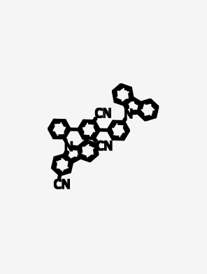 N#Cc1ccc2c(c1)c1ccccc1n2-c1ccccc1-c1cc(C#N)c(-c2cccc(-n3c4ccccc4c4ccccc43)c2)c(C#N)c1